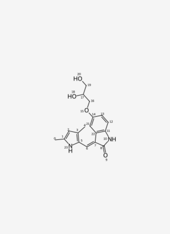 Cc1cc(C)c(C=C2C(=O)Nc3ccc(OCC(O)CO)cc32)[nH]1